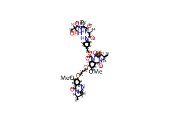 C=C1C[C@H]2C=Nc3cc(OCCCOc4cc5c(cc4OC)C(=O)N4CC(=C)C[C@H]4[C@H](O)N5C(=O)OCc4ccc(NC(=O)[C@H](C)NC(=O)[C@@H](NC(=O)C(C)(C)CO)C(C)C)cc4)c(OC)cc3C(=O)N2C1